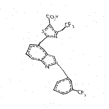 O=C(O)c1sc(-c2cccc3nn(Cc4cccc(C(F)(F)F)c4)cc23)nc1C(F)(F)F